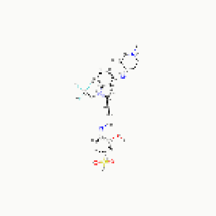 COc1cc(S(C)(=O)=O)ccc1NCC#Cc1cc2c(N[C@H]3CCN(C)C[C@H]3C)cccc2n1CC(F)(F)F